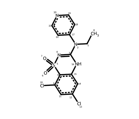 CCN(C1=NS(=O)(=O)c2c(Cl)cc(Cl)cc2N1)c1ccncc1